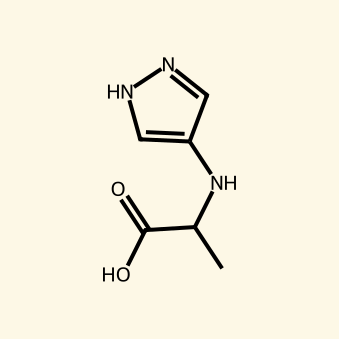 CC(Nc1cn[nH]c1)C(=O)O